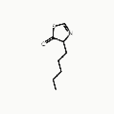 CCCCCC1N=CSC1=O